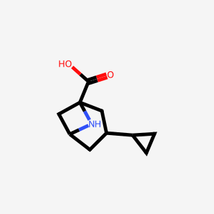 O=C(O)C12CC(CC(C3CC3)C1)N2